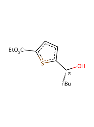 CCCC[C@@H](O)c1ccc(C(=O)OCC)s1